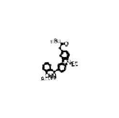 CCCCC(=O)Cc1ccc2c(c1)c1cc(C(=NOC(C)=O)c3ccccc3C)ccc1n2CC